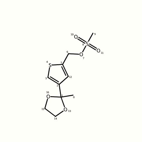 CC1(c2csc(COS(C)(=O)=O)c2)OCCO1